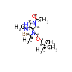 CNC1=C(N(COCC[Si](C)(C)C)C(C)Br)CN(C(C)=O)C1